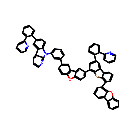 c1ccc(-c2ccccc2-c2cc(-c3ccc4oc5ccc(-c6cccc(-n7c8ccc(-c9ccccc9-c9ccccn9)cc8c8cccnc87)c6)cc5c4c3)c3sc4c(-c5cccc6c5oc5ccccc56)cccc4c3c2)nc1